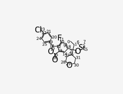 CCC(O[Si](C)(C)C)(c1cc(F)c2c(c1)C(=O)OC2c1ccc(Cl)cc1)C1CCOCC1